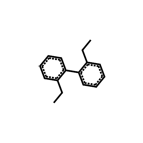 CCc1c[c]ccc1-c1ccccc1CC